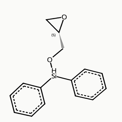 c1ccc([SiH](OC[C@@H]2CO2)c2ccccc2)cc1